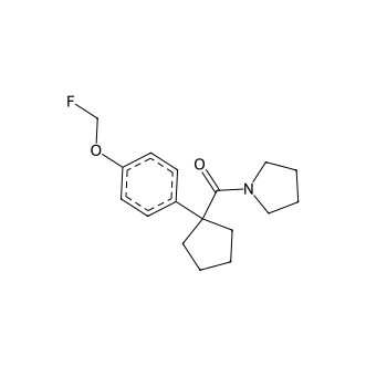 O=C(N1CCCC1)C1(c2ccc(OCF)cc2)CCCC1